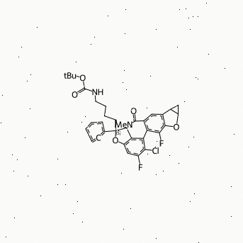 CNC(=O)c1cc2c(c(F)c1-c1c(Cl)c(F)cc3c1C[C@@](CCCCNC(=O)OC(C)(C)C)(c1ccccc1)O3)OC1CC21